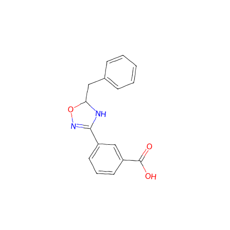 O=C(O)c1cccc(C2=NOC(Cc3ccccc3)N2)c1